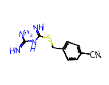 N#Cc1ccc(CSC(=N)NC(=N)N)cc1